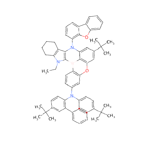 CCn1c2c(c3c1B1c4ccc(N(c5ccc(C(C)(C)C)cc5)c5ccc(C(C)(C)C)cc5-c5ccccc5)cc4Oc4cc(C(C)(C)C)cc(c41)N3c1cccc3c1oc1ccccc13)CCCC2